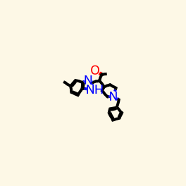 CC(=O)C(c1nc2cc(C)ccc2[nH]1)C1CCN(Cc2ccccc2)CC1